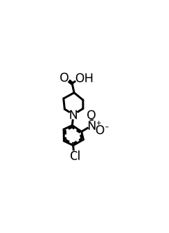 O=C(O)C1CCN(c2ccc(Cl)cc2[N+](=O)[O-])CC1